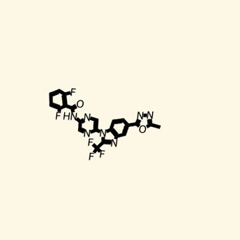 Cc1nnc(-c2ccc3c(c2)nc(C(F)(F)F)n3-c2cnc(NC(=O)c3c(F)cccc3F)cn2)o1